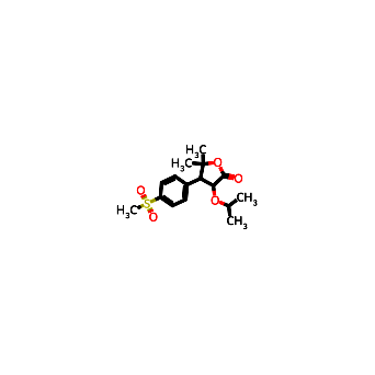 CC(C)OC1C(=O)OC(C)(C)C1c1ccc(S(C)(=O)=O)cc1